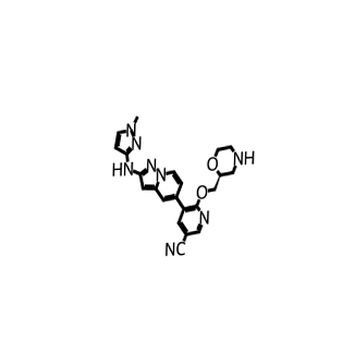 Cn1ccc(Nc2cc3cc(-c4cc(C#N)cnc4OC[C@@H]4CNCCO4)ccn3n2)n1